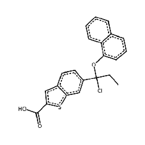 CCC(Cl)(Oc1cccc2ccccc12)c1ccc2cc(C(=O)O)sc2c1